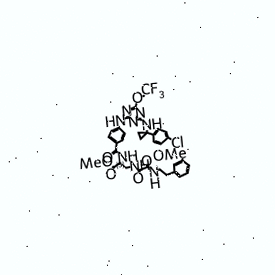 COC(=O)[C@H](CNC(=O)C(=O)NCCc1cccc(OC)c1)NC(=O)c1ccc(Nc2nc(NC3(c4ccc(Cl)cc4)CC3)nc(OCC(F)(F)F)n2)cc1